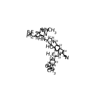 CNc1nc(NC2CCN(Cc3cc4cc(C#N)n(C[C@H](C)N5CCN(S(C)(=O)=O)CC5)c4cc3O)CC2)c2cc(CC(F)(F)F)sc2n1